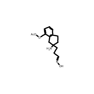 CC(=O)OOc1cccc2c1CC(N)(CCC=NO)CC2